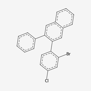 Clc1ccc(-c2cc3ccccc3cc2-c2ccccc2)c(Br)c1